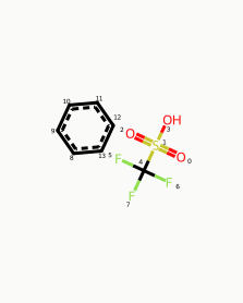 O=S(=O)(O)C(F)(F)F.c1ccccc1